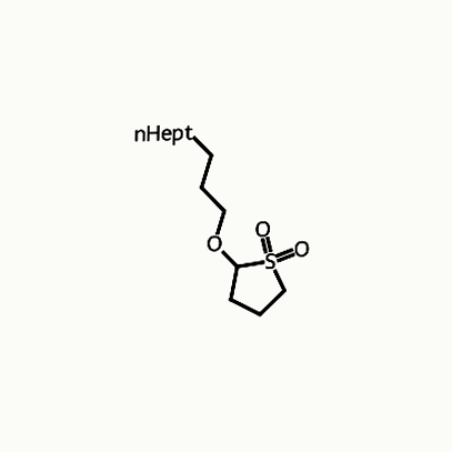 CCCCCCCCCCOC1CCCS1(=O)=O